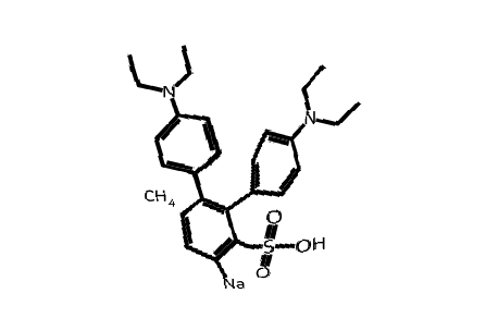 C.CCN(CC)c1ccc(-c2cc[c]([Na])c(S(=O)(=O)O)c2-c2ccc(N(CC)CC)cc2)cc1